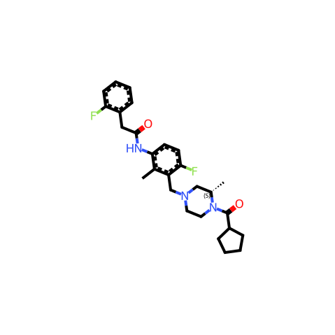 Cc1c(NC(=O)Cc2ccccc2F)ccc(F)c1CN1CCN(C(=O)C2CCCC2)[C@@H](C)C1